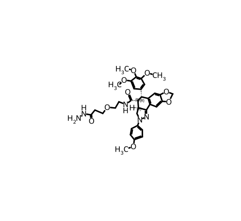 COc1ccc(N2C[C@@H]3C(=N2)c2cc4c(cc2[C@@H](c2cc(OC)c(OC)c(OC)c2)[C@H]3C(=O)NCCOCCC(=O)NN)OCO4)cc1